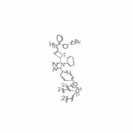 [2H]C([2H])([2H])C([2H])([2H])Oc1ccc(-c2nnc(C3CC(NC(=O)OC(C)(C)C)C3)n2-c2ccccc2F)nc1